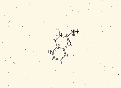 CN(Cc1ccccn1)C([NH])=O